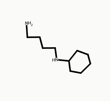 NCCCCNC1CCCCC1